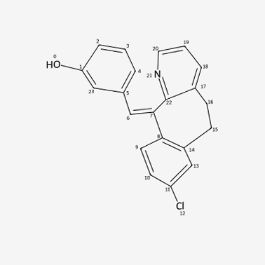 Oc1cccc(C=C2c3ccc(Cl)cc3CCc3cccnc32)c1